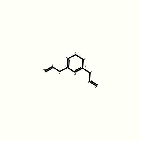 C=CCC1=CCCC(CC=C)=C1